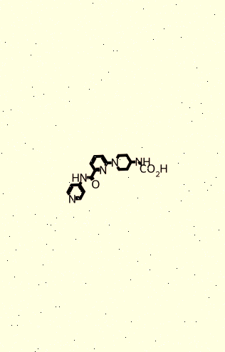 O=C(O)NC1CCN(c2cccc(C(=O)Nc3ccncc3)n2)CC1